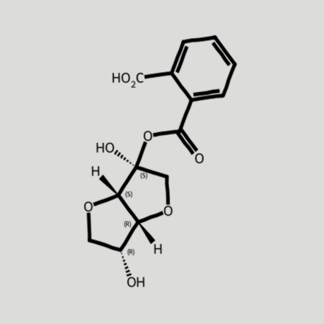 O=C(O)c1ccccc1C(=O)O[C@@]1(O)CO[C@@H]2[C@H](O)CO[C@@H]21